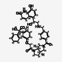 O=C(c1ccc(CNC[C@H](O)c2ccc(O)c3[nH]c(=O)ccc23)cc1)N1C[C@H]2CCN(C(=O)COc3cccc([C@](O)(C(=O)O)c4ccccc4)c3)[C@H]2C1